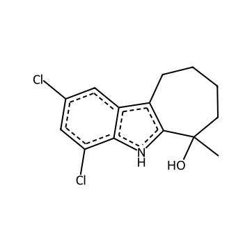 CC1(O)CCCCc2c1[nH]c1c(Cl)cc(Cl)cc21